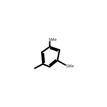 [CH2]c1cc(SC)cc(SC)c1